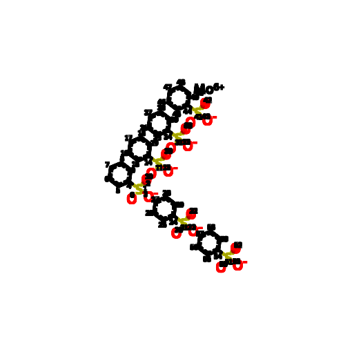 O=S(=O)([O-])c1ccccc1.O=S(=O)([O-])c1ccccc1.O=S(=O)([O-])c1ccccc1.O=S(=O)([O-])c1ccccc1.O=S(=O)([O-])c1ccccc1.O=S(=O)([O-])c1ccccc1.[Mo+6]